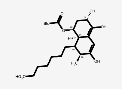 CCC(C)C(=O)O[C@H]1C[C@H](O)C(O)=C2C=C(O)[C@@H](C)[C@@H](CCCCCCC(=O)O)[C@H]21